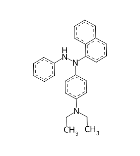 CCN(CC)c1ccc(N(Nc2ccccc2)c2cccc3ccccc23)cc1